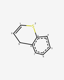 C1=CSc2ccccc2C1